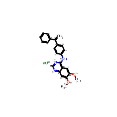 C=C(c1ccccc1)c1ccc(Nc2ncnc3cc(OC)c(OC)cc23)cc1.Cl